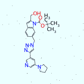 CC(C)(C)OC(=O)n1c(CO)cc2ccc(Cn3cc(-c4cncc(N5CCCC5)c4)nn3)cc21